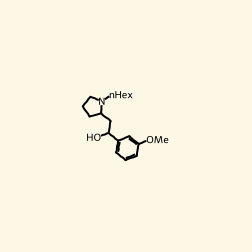 CCCCCCN1CCCC1CC(O)c1cccc(OC)c1